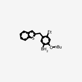 Bc1cc(Cc2cc3ccccc3s2)c(CC)cc1OCCCC